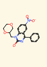 O=c1nc(-c2ccccc2)c2cc([N+](=O)[O-])ccc2n1CC1COCCO1